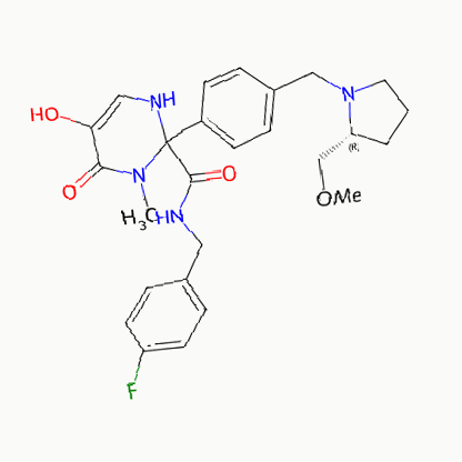 COC[C@H]1CCCN1Cc1ccc(C2(C(=O)NCc3ccc(F)cc3)NC=C(O)C(=O)N2C)cc1